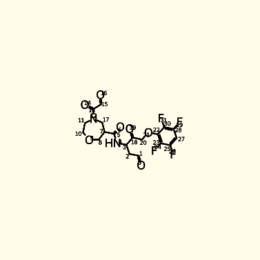 O=CCC(NC(=O)C1COCCN(C(=O)C=O)C1)C(=O)COc1c(F)c(F)cc(F)c1F